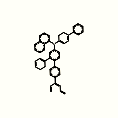 C=C/C=C(\C=C)c1ccc(-c2ccc(N(C3=CC=C(c4ccccc4)CC3)c3cccc4ccccc34)cc2C2=CC=CCC2)cc1